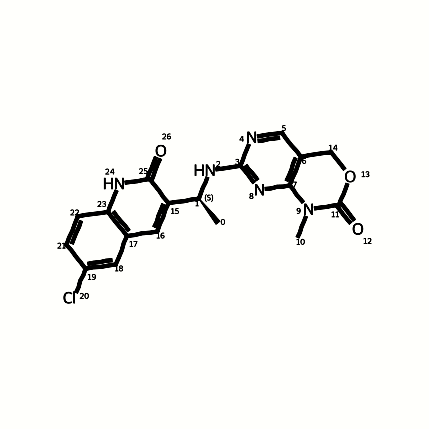 C[C@H](Nc1ncc2c(n1)N(C)C(=O)OC2)c1cc2cc(Cl)ccc2[nH]c1=O